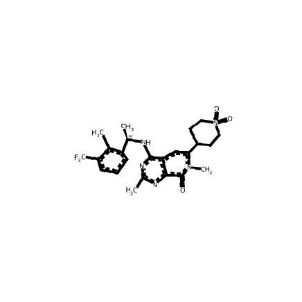 Cc1nc(N[C@H](C)c2cccc(C(F)(F)F)c2C)c2cc(C3CCS(=O)(=O)CC3)n(C)c(=O)c2n1